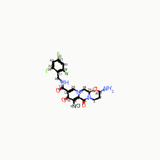 N[C@H]1CCN2C(=O)c3c(N=O)c(=O)c(C(=O)NCc4c(F)cc(F)cc4F)cn3CC2O1